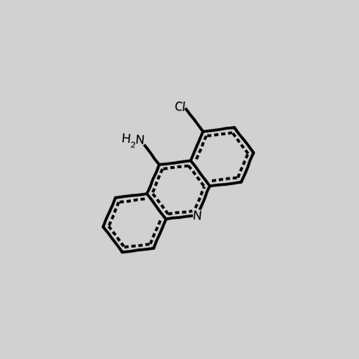 Nc1c2ccccc2nc2cccc(Cl)c12